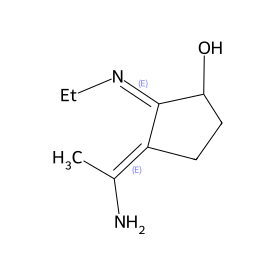 CC/N=C1\C(=C(/C)N)CCC1O